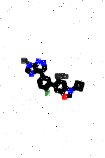 CCn1cnc2c(-c3ccc(F)c(-c4cc5c(cc4OC)N(C4CCC4)CO5)c3)cnnc21